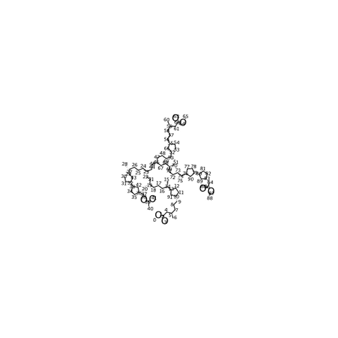 COC(=O)C[C@H](C)CCC[C@H]1CC[C@H]([C@H](C)CCC[C@H](C)CC[C@H](CCC[C@@H](C)[C@H]2CC[C@H](C3CC[C@H](COC(C)=O)C3)C2)CC[C@@H](CCC[C@@H](C)[C@H]2CC[C@H](CCC[C@@H](C)CC(=O)OC)C2)CC[C@@H](C)CCC[C@@H](C)[C@H]2CC[C@H](C3CC[C@H](CC(=O)OC)C3)C2)C1